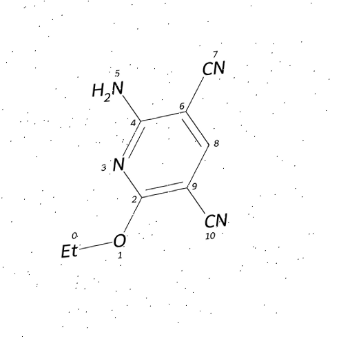 CCOc1nc(N)c(C#N)cc1C#N